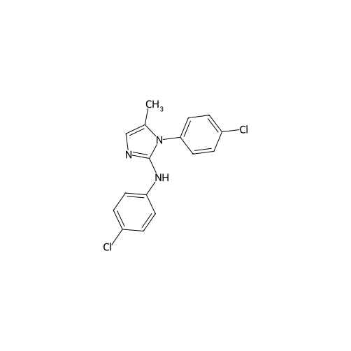 Cc1cnc(Nc2ccc(Cl)cc2)n1-c1ccc(Cl)cc1